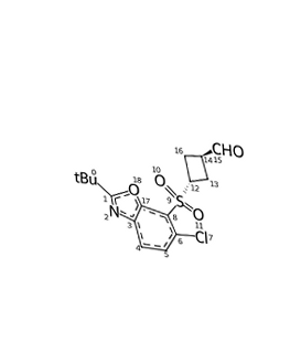 CC(C)(C)c1nc2ccc(Cl)c(S(=O)(=O)[C@H]3C[C@H](C=O)C3)c2o1